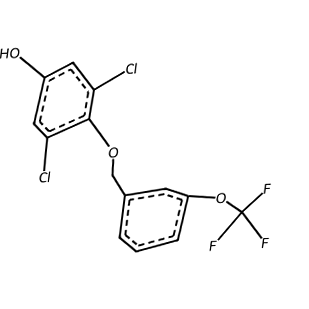 Oc1cc(Cl)c(OCc2cccc(OC(F)(F)F)c2)c(Cl)c1